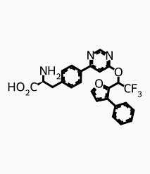 N[C@@H](Cc1ccc(-c2cc(OC(c3occc3-c3ccccc3)C(F)(F)F)ncn2)cc1)C(=O)O